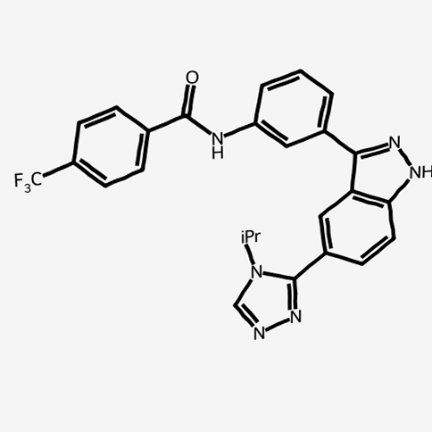 CC(C)n1cnnc1-c1ccc2[nH]nc(-c3cccc(NC(=O)c4ccc(C(F)(F)F)cc4)c3)c2c1